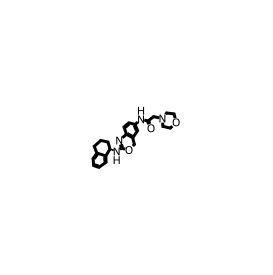 O=C(CN1CCOCC1)Nc1ccc2c(c1)COC(N[C@@H]1CCCc3ccccc31)=N2